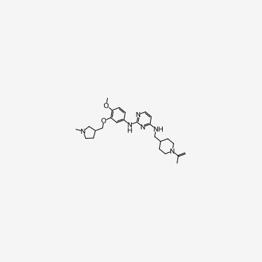 C=C(C)N1CCC(CNc2ccnc(Nc3ccc(OC)c(OCC4CCN(C)C4)c3)n2)CC1